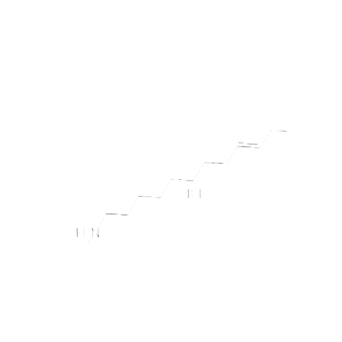 CC/C=C/CCCCCCCCN.Cl